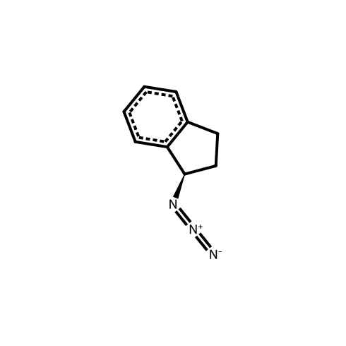 [N-]=[N+]=N[C@@H]1CCc2ccccc21